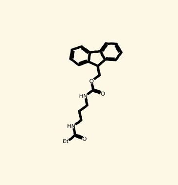 CCC(=O)NCCCNC(=O)OCC1c2ccccc2-c2ccccc21